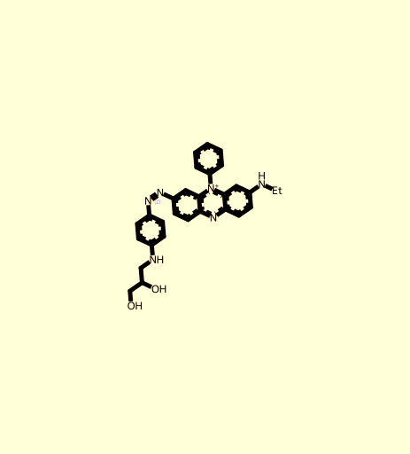 CCNc1ccc2nc3ccc(/N=N\c4ccc(NCC(O)CO)cc4)cc3[n+](-c3ccccc3)c2c1